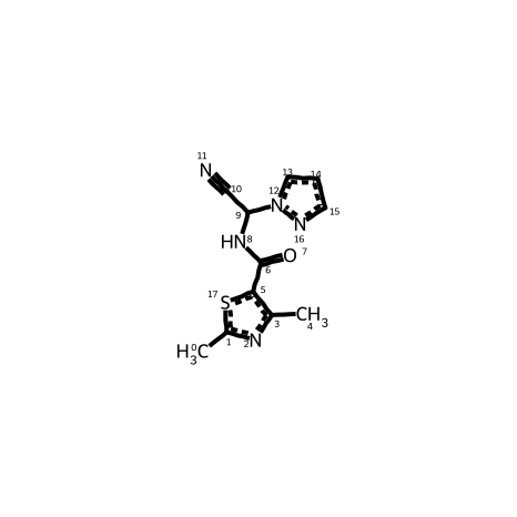 Cc1nc(C)c(C(=O)NC(C#N)n2cccn2)s1